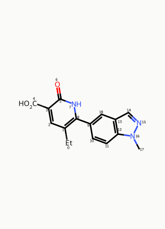 CCc1cc(C(=O)O)c(=O)[nH]c1-c1ccc2c(cnn2C)c1